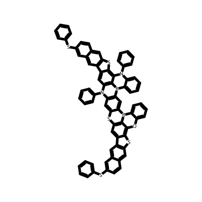 c1ccc(Sc2ccc3cc4sc5c6c7c(cc5c4cc3c2)Sc2cc3c(cc2B7c2ccccc2O6)B2c4ccccc4N(c4ccccc4)c4c2c(cc2c4sc4cc5ccc(Sc6ccccc6)cc5cc42)N3c2ccccc2)cc1